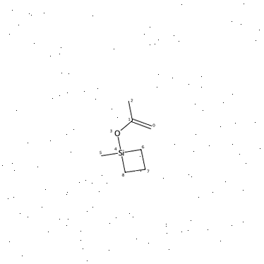 C=C(C)O[Si]1(C)CCC1